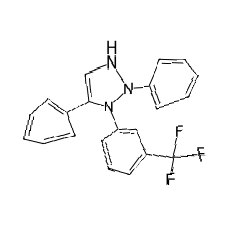 FC(F)(F)c1cccc(N2C(c3ccccc3)=CNN2c2ccccc2)c1